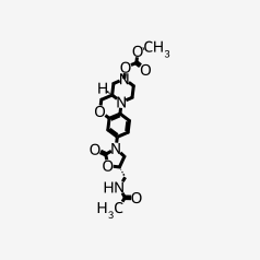 COC(=O)ON1CCN2c3ccc(N4C[C@H](CNC(C)=O)OC4=O)cc3OC[C@H]2C1